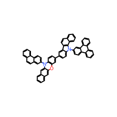 c1ccc2cc3c(cc2c1)Oc1cc(-c2ccc4c(c2)c2ccc5ccccc5c2n4-c2ccc4c5ccccc5c5ccccc5c4c2)ccc1N3c1ccc2c(ccc3ccccc32)c1